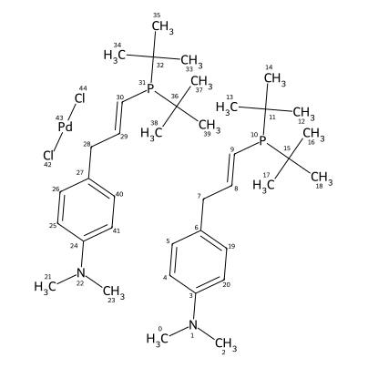 CN(C)c1ccc(CC=CP(C(C)(C)C)C(C)(C)C)cc1.CN(C)c1ccc(CC=CP(C(C)(C)C)C(C)(C)C)cc1.[Cl][Pd][Cl]